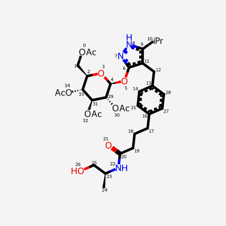 CC(=O)OC[C@H]1O[C@@H](Oc2n[nH]c(C(C)C)c2Cc2ccc(CCCC(=O)N[C@@H](C)CO)cc2)[C@H](OC(C)=O)[C@@H](OC(C)=O)[C@@H]1OC(C)=O